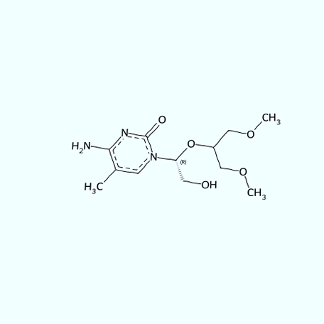 COCC(COC)O[C@H](CO)n1cc(C)c(N)nc1=O